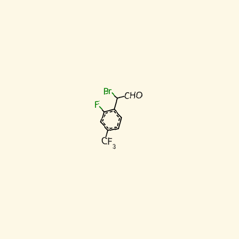 O=CC(Br)c1ccc(C(F)(F)F)cc1F